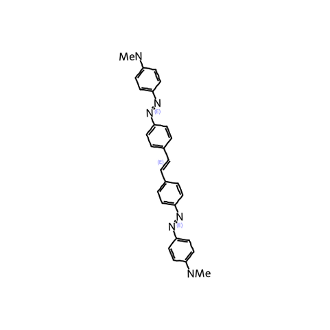 CNc1ccc(/N=N/c2ccc(/C=C/c3ccc(/N=N/c4ccc(NC)cc4)cc3)cc2)cc1